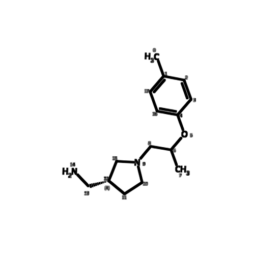 Cc1ccc(OC(C)CN2CC[C@H](CN)C2)cc1